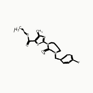 CCOC(=O)c1sc(N2CCN(Cc3ccc(F)cc3)C2=O)nc1C